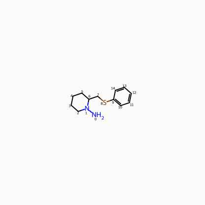 NN1CCCCC1CSc1ccccc1